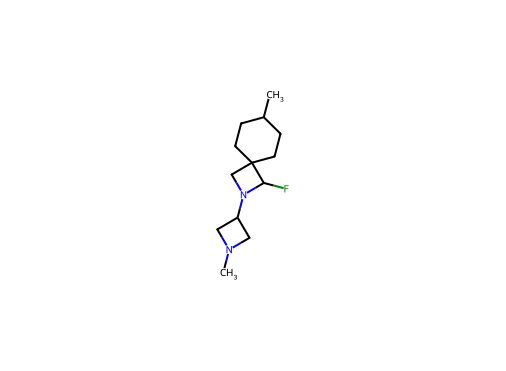 CC1CCC2(CC1)CN(C1CN(C)C1)C2F